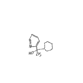 OC(c1ccccn1)(C1CCCCC1)C(F)(F)F